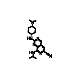 CC(C)Nc1nc(C#N)cc2cnc(N[C@H]3CC[C@H](N(C)C)CC3)nc12